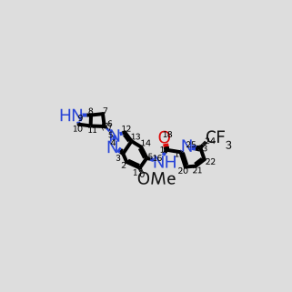 COc1cc2nn([C@@H]3CC4NCC43)cc2cc1NC(=O)c1cccc(C(F)(F)F)n1